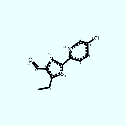 CCc1sc(-c2ccc(Cl)cn2)nc1C=O